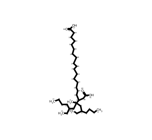 CCCCC(CC)CC(C)(CC(CC)CCCC)C(CCCCCCCCCCCCCCCCC(=O)O)CC(=O)O